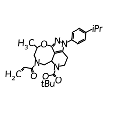 C=CC(=O)N1CC(C)Oc2nn(-c3ccc(C(C)C)cc3)c3c2C(C1)N(C(=O)OC(C)(C)C)CC3